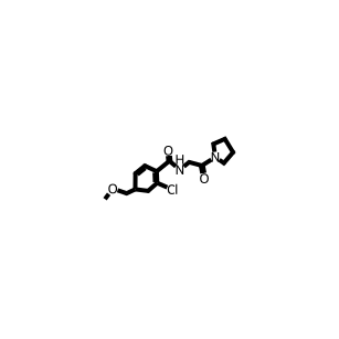 COCC1C=CC(C(=O)NCC(=O)N2CCCC2)=C(Cl)C1